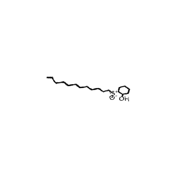 CCCCCCCCCCCC[S@+]([O-])C1CCCCC1O